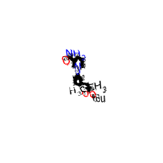 CC(C)(C)OC(=O)C(C)(C)Cc1cccc(N2CCCC(C(N)=O)C2)c1